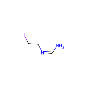 N/C=N\CCI